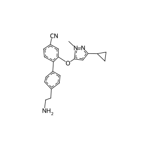 Cn1nc(C2CC2)cc1Oc1cc(C#N)ccc1-c1ccc(CCN)cc1